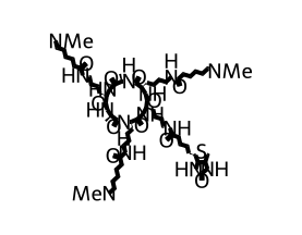 CNCCCCCC(=O)NCCCC[C@@H]1NC(=O)[C@@H](C)NC(=O)[C@H](CCCCNC(=O)CCCCCNC)NC(=O)[C@@H](CCCCNC(=O)CCCC[C@@H]2SCC3NC(=O)NC32)NC(=O)[C@H](CCCCNC(=O)CCCCCNC)NC(=O)[C@@H](C)NC1=O